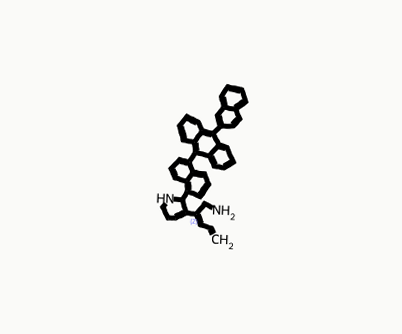 C=C/C=C(\CN)C1=CCCNC1c1cccc2c(-c3c4ccccc4c(-c4ccc5ccccc5c4)c4ccccc34)cccc12